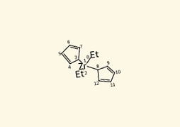 C[CH2][Zr]([CH2]C)([CH]1C=CC=C1)[CH]1C=CC=C1